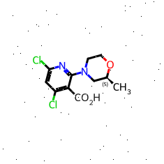 C[C@H]1CN(c2nc(Cl)cc(Cl)c2C(=O)O)CCO1